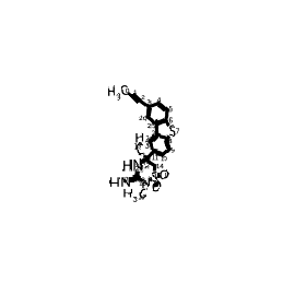 CC#Cc1ccc2sc3ccc([C@]4(C)CS(=O)(=O)N(C)C(=N)N4)cc3c2c1